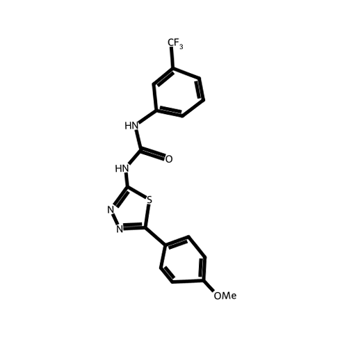 COc1ccc(-c2nnc(NC(=O)Nc3cccc(C(F)(F)F)c3)s2)cc1